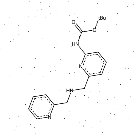 CC(C)(C)OC(=O)Nc1cccc(CNCc2ccccn2)n1